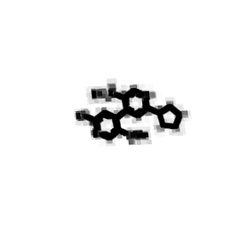 COc1cnc(Cl)cc1-c1cc(C2CCCC2)ncc1C(=O)O